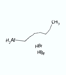 Br.Br.CCC[CH2][AlH2]